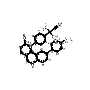 CC(C)(C#N)c1ccc(-n2c(=O)ccc3cnc4ccc(-c5ccc(N)nc5)cc4c32)cc1